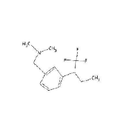 CCC(c1cccc(CN(C)C)c1)C(F)(F)F